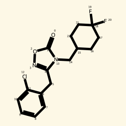 O=c1onc(Cc2ccccc2Cl)n1CC1CCC(F)(F)CC1